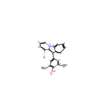 CC(C)(C)c1cc(-c2c3ccccc3n3cccc(F)c23)cc(C(C)(C)C)c1O